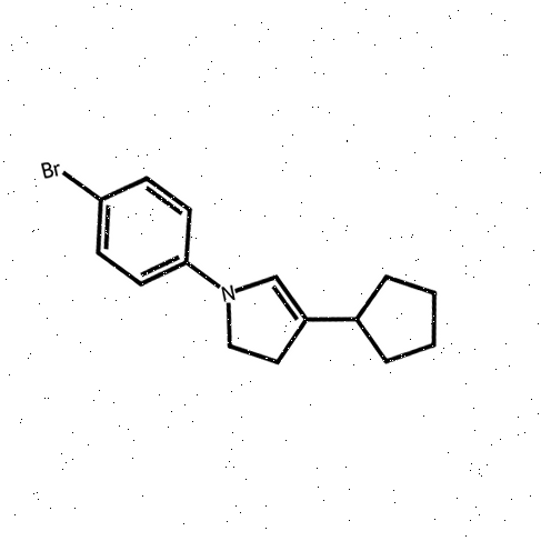 Brc1ccc(N2C=C(C3CCCC3)CC2)cc1